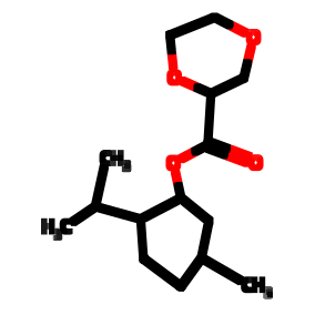 CC1CCC(C(C)C)C(OC(=O)C2COCCO2)C1